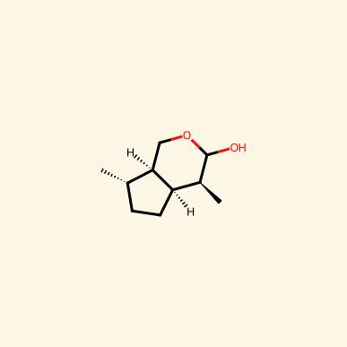 C[C@@H]1C(O)OC[C@H]2[C@@H]1CC[C@@H]2C